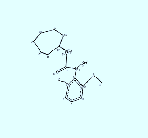 CCc1cccc(C)c1N(S)C(=O)NC1CCCCCC1